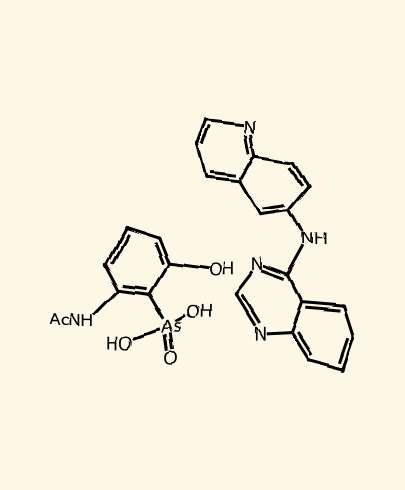 CC(=O)Nc1cccc(O)c1[As](=O)(O)O.c1cnc2ccc(Nc3ncnc4ccccc34)cc2c1